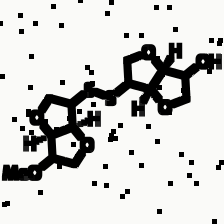 COC1CO[C@@H]2C(SSC3CO[C@@H]4C(O)CO[C@H]34)CO[C@H]12